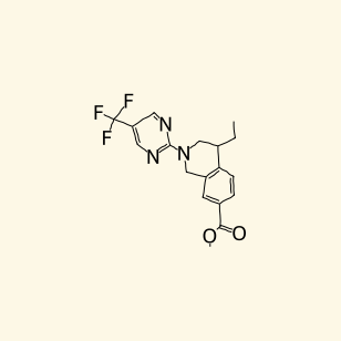 CCC1CN(c2ncc(C(F)(F)F)cn2)Cc2cc(C(=O)OC)ccc21